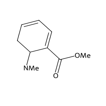 CNC1CC=CC=C1C(=O)OC